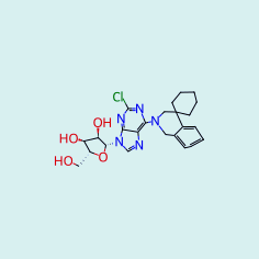 OC[C@H]1O[C@@H](n2cnc3c(N4Cc5ccccc5C5(CCCCC5)C4)nc(Cl)nc32)[C@H](O)[C@@H]1O